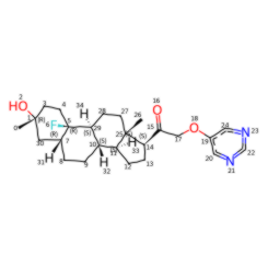 C[C@@]1(O)CC[C@@]2(F)[C@H](CC[C@H]3[C@@H]4CC[C@H](C(=O)COc5cncnc5)[C@@]4(C)CC[C@@H]32)C1